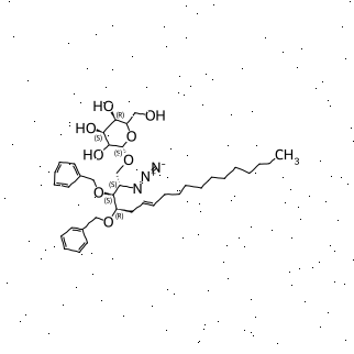 CCCCCCCCCCCC=CC[C@@H](OCc1ccccc1)[C@@H](OCc1ccccc1)[C@H](CO[C@H]1OC(CO)[C@H](O)[C@H](O)C1O)N=[N+]=[N-]